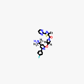 CCc1nc(-c2ncccn2)sc1C(=O)N1C[C@@H]2C(Oc3cc(C(C)(C)N)cc(-c4ccc(F)cc4)n3)[C@@H]2C1